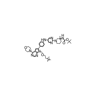 CC(C)(C)OC(=O)N[C@]1(C)CCCN(c2ncc(Nc3ccc(-c4cc5c(N6CCOCC6)ncnc5n4COCC[Si](C)(C)C)cc3)cn2)C1